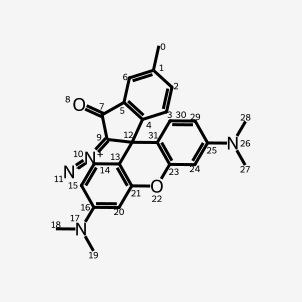 Cc1ccc2c(c1)C(=O)C(=[N+]=[N-])C21c2ccc(N(C)C)cc2Oc2cc(N(C)C)ccc21